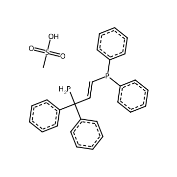 CS(=O)(=O)O.PC(C=CP(c1ccccc1)c1ccccc1)(c1ccccc1)c1ccccc1